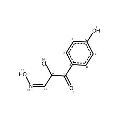 O=C(c1ccc(O)cc1)C(Cl)/C=N\O